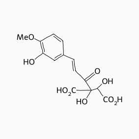 COc1ccc(/C=C/C(=O)C(O)(C(=O)O)C(O)C(=O)O)cc1O